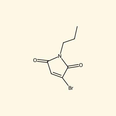 CCCN1C(=O)C=C(Br)C1=O